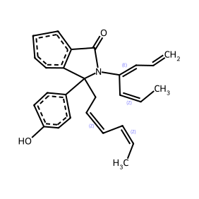 C=C/C=C(\C=C/C)N1C(=O)c2ccccc2C1(C/C=C\C=C/C)c1ccc(O)cc1